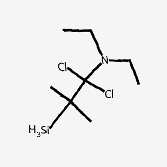 CCN(CC)C(Cl)(Cl)C(C)(C)[SiH3]